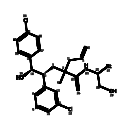 C=CCC(C)(C[C@H](c1cncc(Cl)c1)[C@@H](O)c1ccc(Cl)cc1)C(=O)NC(CC)CO